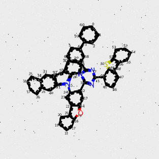 c1ccc(-c2cccc(-c3nc(-c4cc5oc6ccccc6c5cc4-n4c5ccccc5c5cc6ccccc6cc54)nc(-c4cccc5c4sc4ccccc45)n3)c2)cc1